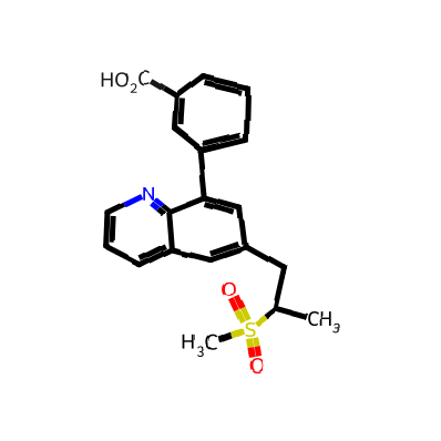 CC(Cc1cc(-c2cccc(C(=O)O)c2)c2ncccc2c1)S(C)(=O)=O